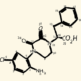 Nc1ccc(Cl)cc1N1CCN([C@@H](Cc2ccccc2)C(=O)O)C(=O)C1=O